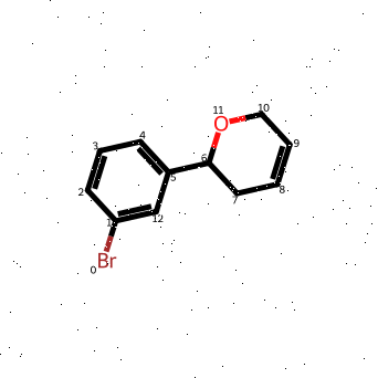 Brc1cccc(C2CC=CCO2)c1